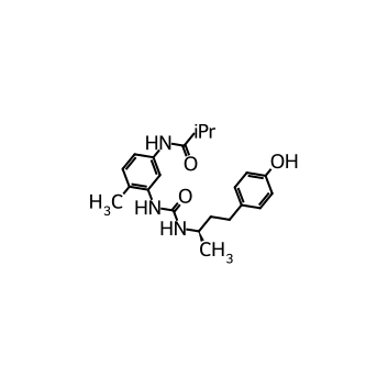 Cc1ccc(NC(=O)C(C)C)cc1NC(=O)N[C@H](C)CCc1ccc(O)cc1